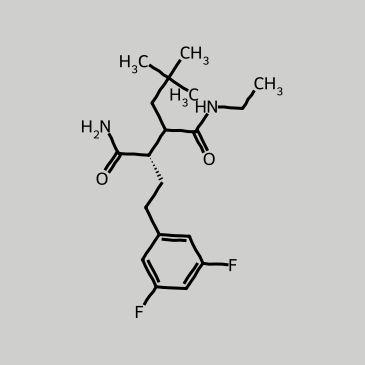 CCNC(=O)C(CC(C)(C)C)[C@H](CCc1cc(F)cc(F)c1)C(N)=O